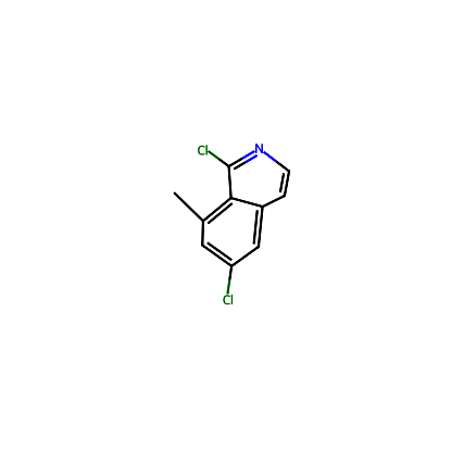 Cc1cc(Cl)cc2ccnc(Cl)c12